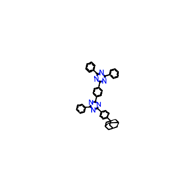 c1ccc(-c2nc(-c3ccccc3)nc(-c3ccc(-c4nc(-c5ccccc5)nc(-c5ccc(C67CC8CC(CC(C8)C6)C7)cc5)n4)cc3)n2)cc1